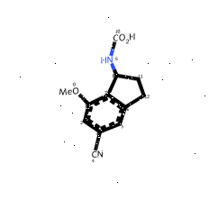 COc1cc(C#N)cc2c1C(NC(=O)O)CC2